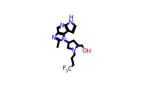 Cc1nc2cnc3[nH]ccc3c2n1C1CC(CO)N(CCCC(F)(F)F)C1